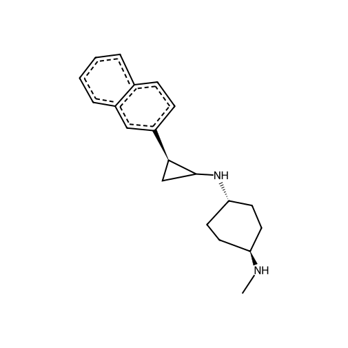 CN[C@H]1CC[C@H](NC2C[C@H]2c2ccc3ccccc3c2)CC1